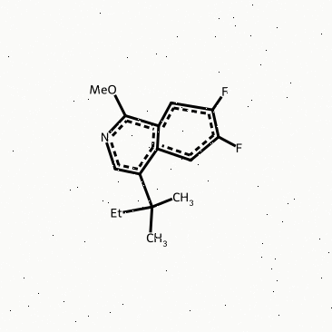 CCC(C)(C)c1cnc(OC)c2cc(F)c(F)cc12